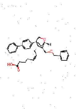 O=C(O)CCC/C=C\C[C@H]1[C@H](COCc2ccccc2)[C@@H]2C[C@@]1(c1ccc(-c3ccccc3)cc1)CO2